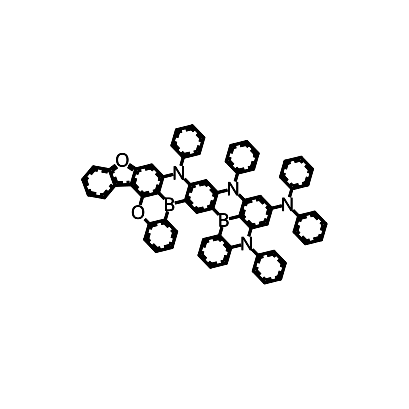 c1ccc(N(c2ccccc2)c2cc3c4c(c2)N(c2ccccc2)c2cc5c(cc2B4c2ccccc2N3c2ccccc2)B2c3ccccc3Oc3c2c(cc2oc4ccccc4c32)N5c2ccccc2)cc1